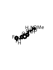 COC(=O)C(N)CCNC(=O)c1ccc2c(c1)C(=O)c1ccc(Nc3ccc(F)cc3F)cc1CC2